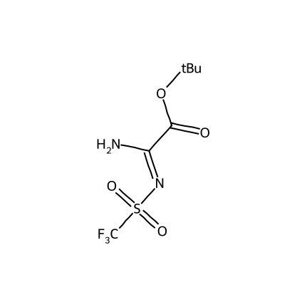 CC(C)(C)OC(=O)/C(N)=N/S(=O)(=O)C(F)(F)F